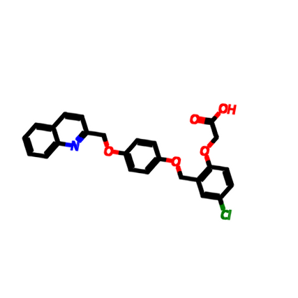 O=C(O)COc1ccc(Cl)cc1COc1ccc(OCc2ccc3ccccc3n2)cc1